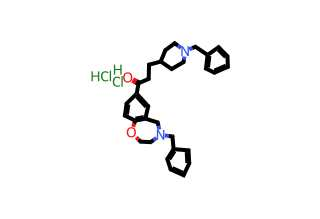 Cl.Cl.O=C(CCC1CCN(Cc2ccccc2)CC1)c1ccc2c(c1)CN(Cc1ccccc1)CCO2